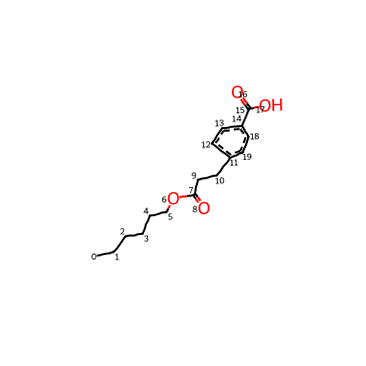 CCCCCCOC(=O)CCc1ccc(C(=O)O)cc1